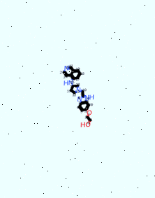 OCCOc1ccc2nc(CN3CC[C@@H](Nc4cccc5cnccc45)C3)[nH]c2c1